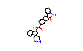 O=C(NC1CC2(CCNCC2)c2ccccc21)c1cc2c(cn1)CC1(C2)C(=O)Nc2ccccc21